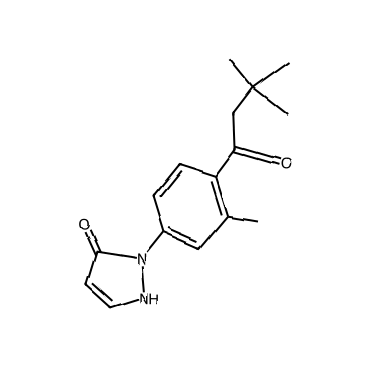 Cc1cc(-n2[nH]ccc2=O)ccc1C(=O)CC(C)(C)C